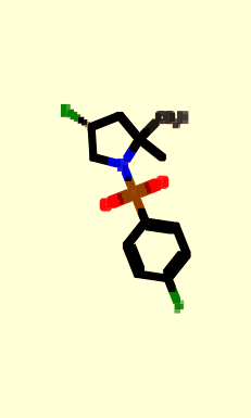 CC1(C(=O)O)C[C@@H](F)CN1S(=O)(=O)c1ccc(F)cc1